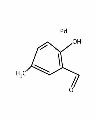 Cc1ccc(O)c(C=O)c1.[Pd]